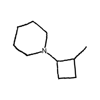 CC1CCC1N1CCCCC1